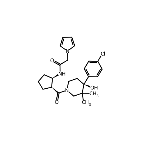 CC1(C)CN(C(=O)[C@H]2CCC[C@H]2NC(=O)Cn2cccc2)CC[C@]1(O)c1ccc(Cl)cc1